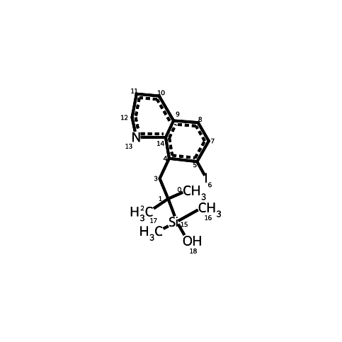 CC(C)(Cc1c(I)ccc2cccnc12)[Si](C)(C)O